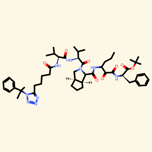 CCCC(NC(=O)C1[C@H]2CCC[C@H]2CN1C(=O)[C@@H](NC(=O)[C@@H](NC(=O)CCCCc1nnnn1C(C)(C)c1ccccc1)C(C)C)C(C)C)C(=O)C(=O)N[C@H](Cc1ccccc1)C(=O)OC(C)(C)C